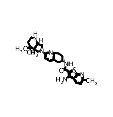 Cc1ccc2c(N)c(C(=O)N[C@H]3CCc4nc(N5C[C@H]6NCCC(C)(C)[C@H]6C5)ccc4C3)sc2n1